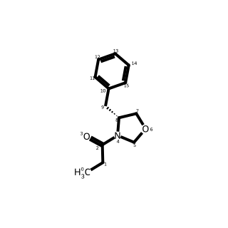 CCC(=O)N1COC[C@H]1Cc1ccccc1